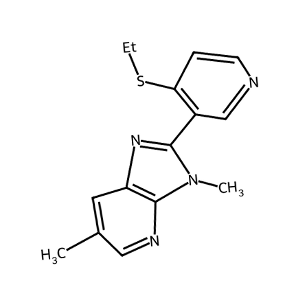 CCSc1ccncc1-c1nc2cc(C)cnc2n1C